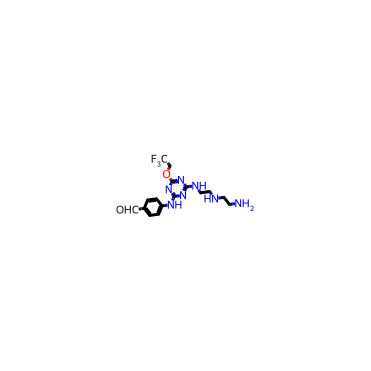 NCCNCCNc1nc(Nc2ccc(C=O)cc2)nc(OCC(F)(F)F)n1